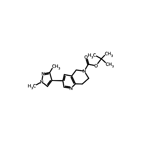 Cc1nn(C)cc1-c1cnc2c(c1)CN(C(=O)OC(C)(C)C)CC2